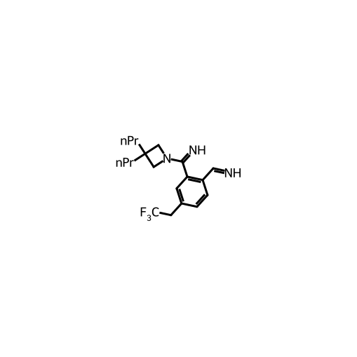 CCCC1(CCC)CN(C(=N)c2cc(CC(F)(F)F)ccc2C=N)C1